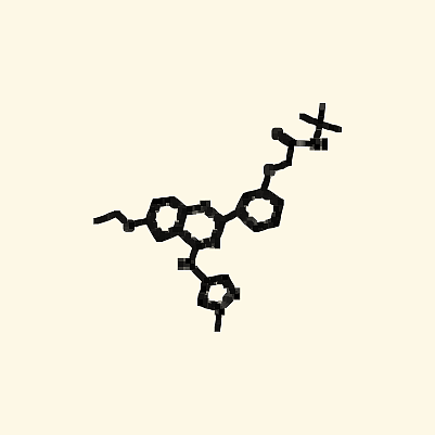 CCOc1ccc2nc(-c3cccc(OCC(=O)NC(C)(C)C)c3)nc(Nc3cnn(C)c3)c2c1